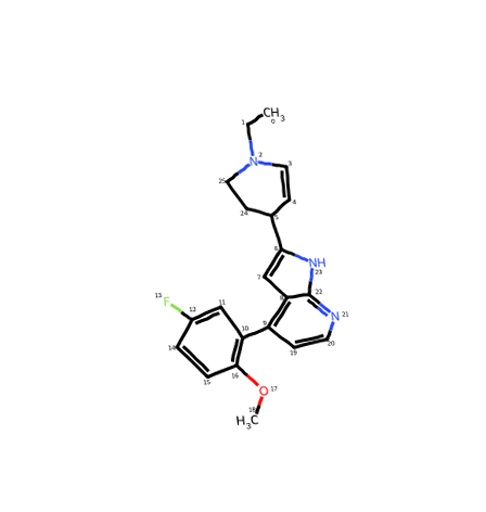 CCN1C=CC(c2cc3c(-c4cc(F)ccc4OC)ccnc3[nH]2)CC1